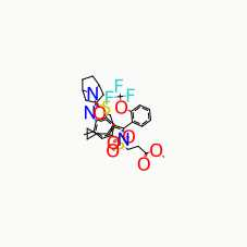 COC(=O)CCS(=O)(=O)c1cc(C)c2nc(N3C4CCC3CC(OCc3c(-c5ccccc5OC(F)(F)F)noc3C3CC3)C4)sc2c1